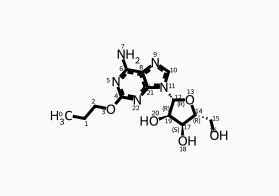 CCCOc1nc(N)c2ncn([C@@H]3O[C@H](CO)[C@@H](O)[C@H]3O)c2n1